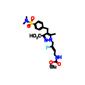 Cc1c(Cc2ccc(S(=O)(=O)N(C)C)cc2)c(C(=O)O)nn1CC(F)=CCNC(=O)OC(C)(C)C